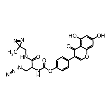 CC1(CNC(=O)C(CN=[N+]=[N-])NC(=O)Oc2ccc(-c3coc4cc(O)cc(O)c4c3=O)cc2)N=N1